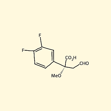 CO[C@@](CC=O)(C(=O)O)c1ccc(F)c(F)c1